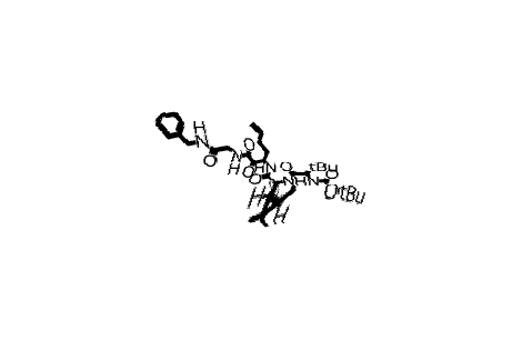 C=CCCC(NC(=O)[C@@H]1[C@@H]2[C@H](CN1C(=O)C(NC(=O)OC(C)(C)C)C(C)(C)C)C2(C)C)C(=O)C(=O)NCC(=O)NCc1ccccc1